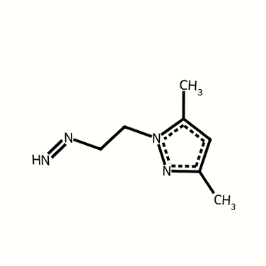 Cc1cc(C)n(CCN=N)n1